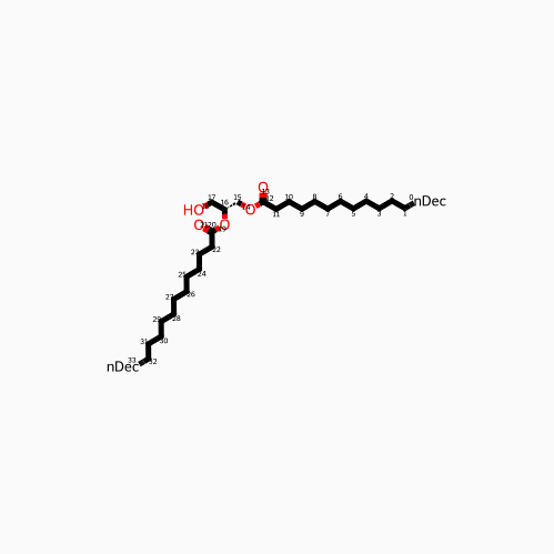 CCCCCCCCCCCCCCCCCCCCCC(=O)OC[C@@H](CO)OC(=O)CCCCCCCCCCCCCCCCCCCCC